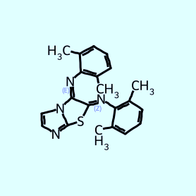 Cc1cccc(C)c1/N=C1\Sc2nccn2\C1=N\c1c(C)cccc1C